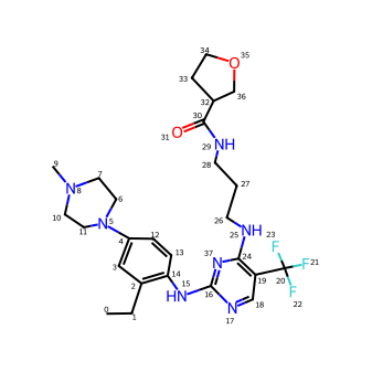 CCc1cc(N2CCN(C)CC2)ccc1Nc1ncc(C(F)(F)F)c(NCCCNC(=O)C2CCOC2)n1